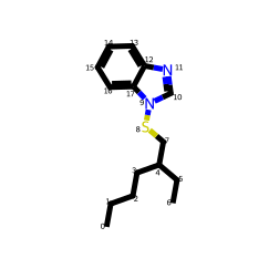 CCCCC(CC)CSn1cnc2ccccc21